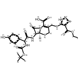 CCOC(=O)c1nn[nH]c1SCC1=C(C(=O)O)N2C(=O)C(NC(=O)C(NC(=O)OC(C)(C)C)c3ccc(O)cc3)[C@@H]2SC1